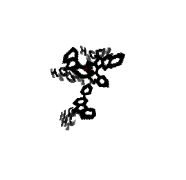 CC1(C)c2ccccc2-c2cc(-c3ccc(N(c4ccc5c(c4)C(C)(C)c4ccccc4-5)c4ccccc4-c4cccc5c4-c4cc6ccccc6cc4C5(C)C)cc3)ccc21